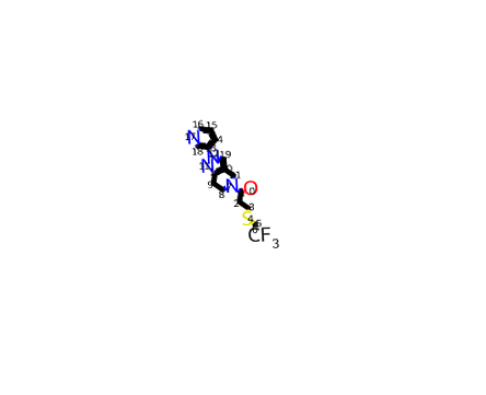 O=C(CCSCC(F)(F)F)N1CCc2nn(-c3cccnc3)cc2C1